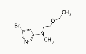 CCOCCN(C)c1cncc(Br)c1